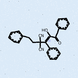 N#CC(C#N)(CCc1ccccc1)/C(=C(\O)C(=O)c1ccccc1)c1ccccc1